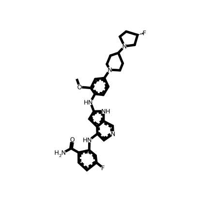 COc1cc(N2CCC(N3CC[C@H](F)C3)CC2)ccc1Nc1cc2c(Nc3cc(F)ccc3C(N)=O)cncc2[nH]1